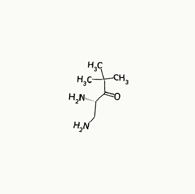 CC(C)(C)C(=O)[C@@H](N)CN